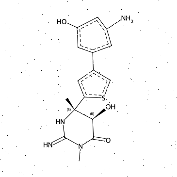 CN1C(=N)N[C@](C)(c2cc(-c3cc(N)cc(O)c3)cs2)[C@@H](O)C1=O